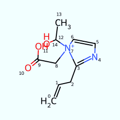 C=CCC1=NC=C[N+]1(CC(=O)O)C(C)O